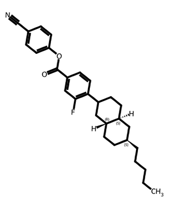 CCCCC[C@H]1CC[C@@H]2CC(c3ccc(C(=O)Oc4ccc(C#N)cc4)cc3F)CC[C@H]2C1